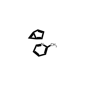 Cc1ccccn1.c1cc2cc-2c1